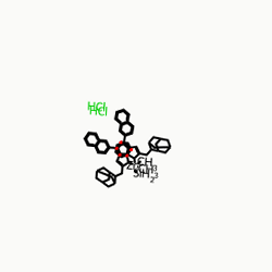 Cl.Cl.[CH3][Zr]([CH3])(=[SiH2])([CH]1C(CC2C3CC4CC(C3)CC2C4)=Cc2c(-c3ccc4ccccc4c3)cccc21)[CH]1C(CC2C3CC4CC(C3)CC2C4)=Cc2c(-c3ccc4ccccc4c3)cccc21